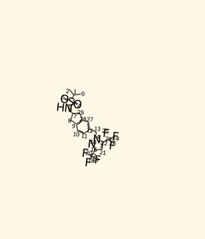 CC(C)S(=O)(=O)NC1Cc2ccc(Cn3nc(C(F)(F)F)cc3C(F)(F)F)cc2C1